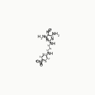 Nc1nc(NCCCNc2ccc([N+](=O)[O-])cc2)nc(N)c1N=O